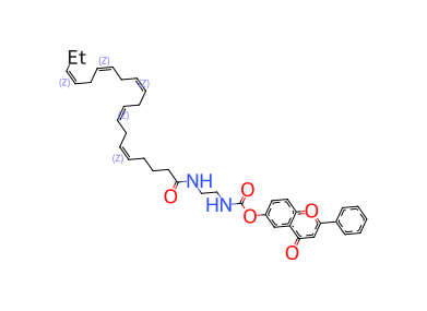 CC/C=C\C/C=C\C/C=C\C/C=C\C/C=C\CCCC(=O)NCCNC(=O)Oc1ccc2oc(-c3ccccc3)cc(=O)c2c1